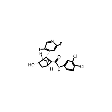 O=C(Nc1ccc(Cl)c(Cl)c1)[C@H]1[C@@H](c2cc(F)ncc2F)[C@H]2O[C@@H]1C[C@@H]2O